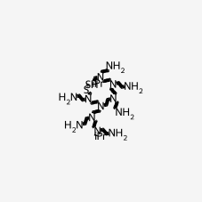 CC(C)CN(CCN)CCN(CCN)CCN(CCN)CCN(CCN(CCN)CCN(CCN)C(C)C)CCN(CCN)CSS